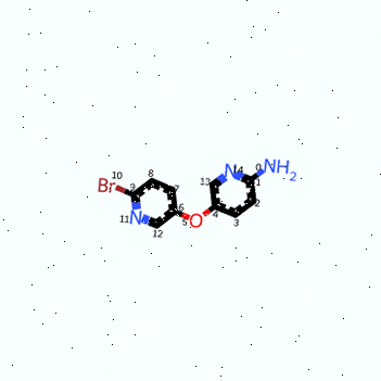 Nc1ccc(Oc2ccc(Br)nc2)cn1